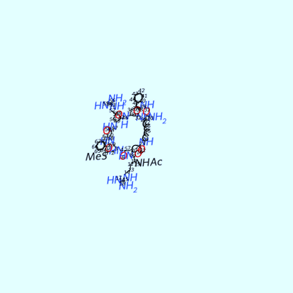 CSCC[C@@H]1NC(=O)[C@@H](NC(=O)[C@H](CCCNC(=N)N)NC(C)=O)CC(=O)NCCCC[C@@H](C(N)=O)NC(=O)[C@H](Cc2c[nH]c3ccccc23)NC(=O)[C@H](CCCNC(=N)N)NC(=O)[C@@H](Cc2ccccc2)NC1=O